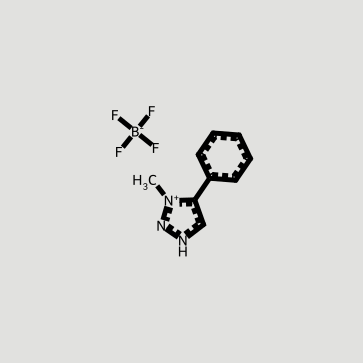 C[n+]1n[nH]cc1-c1ccccc1.F[B-](F)(F)F